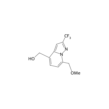 COCc1ccc(CO)c2cc(C(F)(F)F)nn12